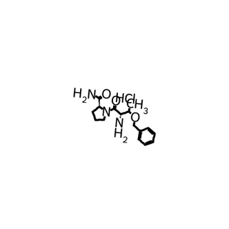 CC(OCc1ccccc1)[C@H](N)C(=O)N1CCC[C@H]1C(N)=O.Cl